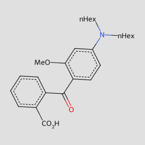 CCCCCCN(CCCCCC)c1ccc(C(=O)c2ccccc2C(=O)O)c(OC)c1